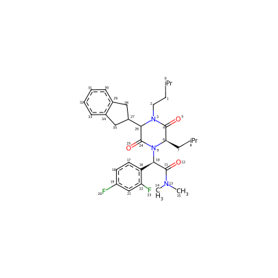 CC(C)CCN1C(=O)[C@@H](CC(C)C)N([C@@H](C(=O)N(C)C)c2ccc(F)cc2F)C(=O)C1C1Cc2ccccc2C1